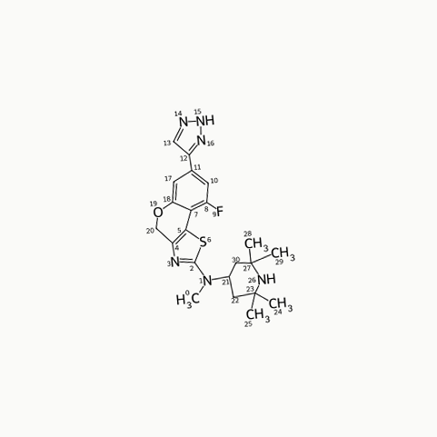 CN(c1nc2c(s1)-c1c(F)cc(-c3cn[nH]n3)cc1OC2)C1CC(C)(C)NC(C)(C)C1